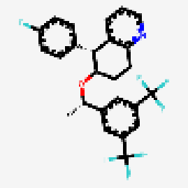 C[C@H](OC1CCc2ncccc2[C@H]1c1ccc(F)cc1)c1cc(C(F)(F)F)cc(C(F)(F)F)c1